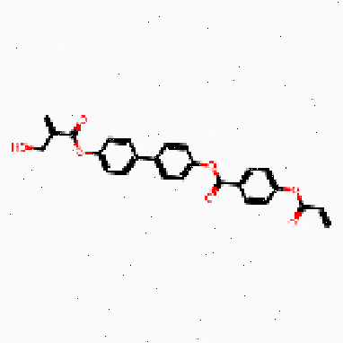 C=CC(=O)Oc1ccc(C(=O)Oc2ccc(-c3ccc(OC(=O)C(=C)CO)cc3)cc2)cc1